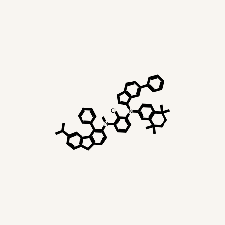 CC(C)c1ccc2c(c1)-c1c(ccc(N(C)c3cccc(N(C4=CCc5ccc(-c6ccccc6)cc54)c4ccc5c(c4)C(C)(C)CCC5(C)C)c3Cl)c1-c1ccccc1)C2